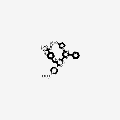 CCOC(=O)N1CCN(C(=O)C(Cc2ccc(C(OCC)(OCC)[PH2]=O)cc2)NC(=O)c2cc(N3CCC(OC)C3)nc(-c3ccccc3)n2)CC1